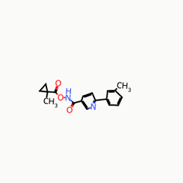 Cc1cccc(-c2ccc(C(=O)NOC(=O)C3(C)CC3)cn2)c1